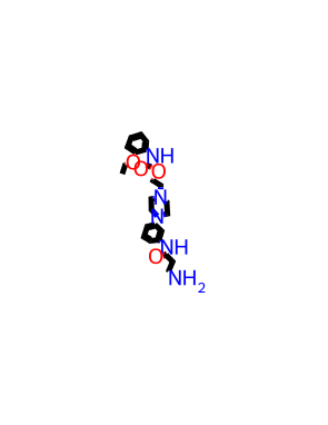 CCOc1ccccc1NC(=O)OCCN1CCN(c2cccc(NC(=O)CCN)c2)CC1